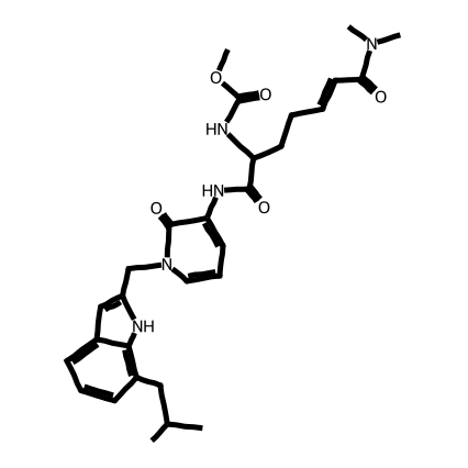 COC(=O)NC(CC/C=C/C(=O)N(C)C)C(=O)Nc1cccn(Cc2cc3cccc(CC(C)C)c3[nH]2)c1=O